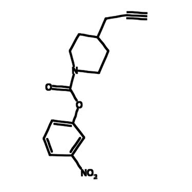 C#CCC1CCN(C(=O)Oc2cccc([N+](=O)[O-])c2)CC1